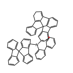 C1=C2C3=C(CC1)c1ccccc1C31c3cc(N(c4ccccc4-c4ccccc4)c4cccc5c4-c4ccccc4C54c5ccccc5-c5ccccc54)ccc3-c3cccc2c31